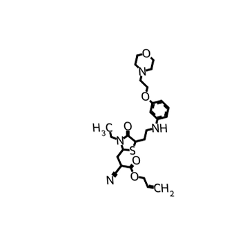 C=CCOC(=O)C(C#N)CC1SC(CCNc2cccc(OCCN3CCOCC3)c2)C(=O)N1CC